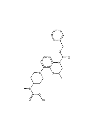 CC1CN(C(=O)OCc2ccccc2)c2cccc(N3CCC(N(C)C(=O)OC(C)(C)C)CC3)c2O1